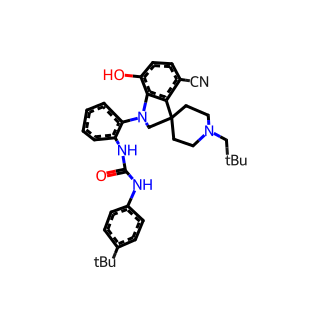 CC(C)(C)CN1CCC2(CC1)CN(c1ccccc1NC(=O)Nc1ccc(C(C)(C)C)cc1)c1c(O)ccc(C#N)c12